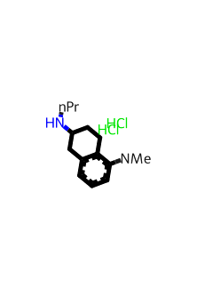 CCCNC1CCc2c(cccc2NC)C1.Cl.Cl